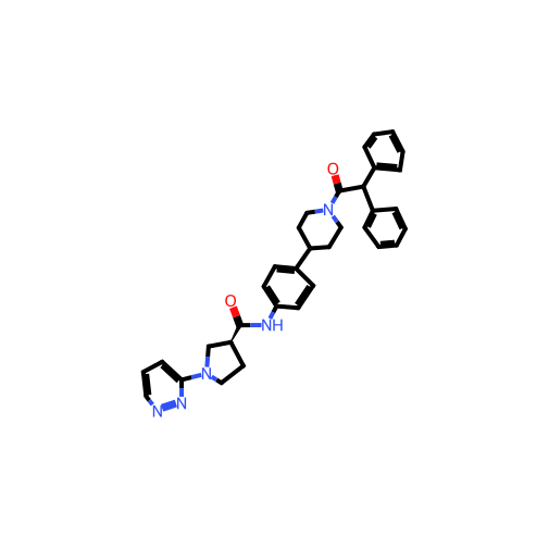 O=C(Nc1ccc(C2CCN(C(=O)C(c3ccccc3)c3ccccc3)CC2)cc1)[C@H]1CCN(c2cccnn2)C1